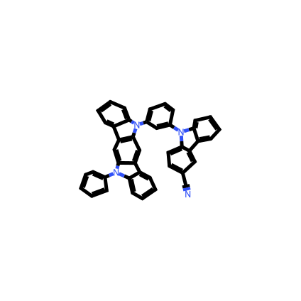 N#Cc1ccc2c(c1)c1ccccc1n2-c1cccc(-n2c3ccccc3c3cc4c(cc32)c2ccccc2n4-c2ccccc2)c1